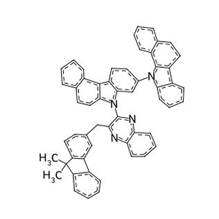 CC1(C)c2ccccc2-c2cc(Cc3nc4ccccc4nc3-n3c4cc(-n5c6ccccc6c6ccc7ccccc7c65)ccc4c4c5ccccc5ccc43)ccc21